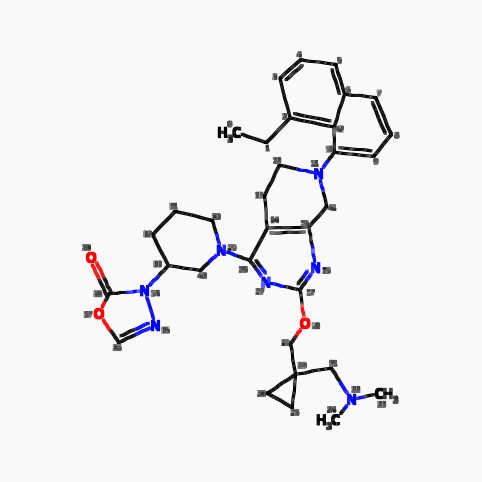 CCc1cccc2cccc(N3CCc4c(nc(OCC5(CN(C)C)CC5)nc4N4CCCC(n5ncoc5=O)C4)C3)c12